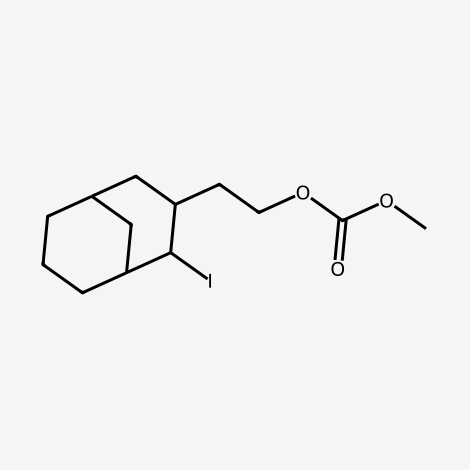 COC(=O)OCCC1CC2CCCC(C2)C1I